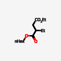 CCCCCCOC(=O)C(CC)CC(=O)OCC